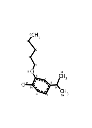 CCCCCOc1cc(C(C)C)ccc1Cl